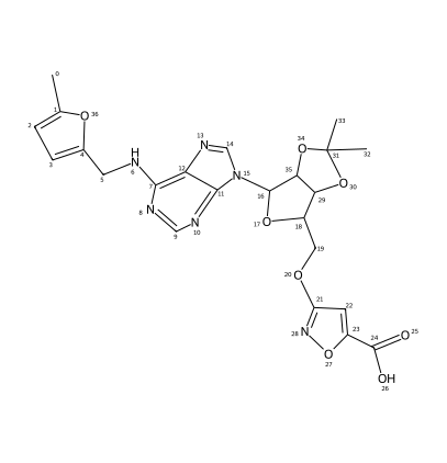 Cc1ccc(CNc2ncnc3c2ncn3C2OC(COc3cc(C(=O)O)on3)C3OC(C)(C)OC32)o1